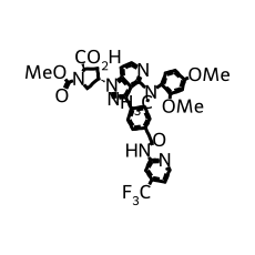 COC(=O)N1C[C@@H](n2nc(-c3ccc(C(=O)Nc4cc(C(F)(F)F)ccn4)cc3)c3c(N(C)c4ccc(OC)cc4OC)nccc32)C[C@@H]1C(=O)O